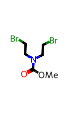 COC(=O)N(CCBr)CCBr